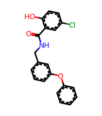 O=C(NCc1cccc(Oc2ccccc2)c1)c1cc(Cl)ccc1O